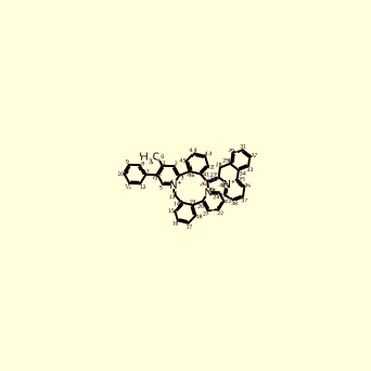 Cc1cc2[n+](cc1-c1ccccc1)Cc1ccccc1-c1cccc[n+]1/C(=C1/Cc3ccccc3-c3cccc[n+]31)c1ccccc1-2